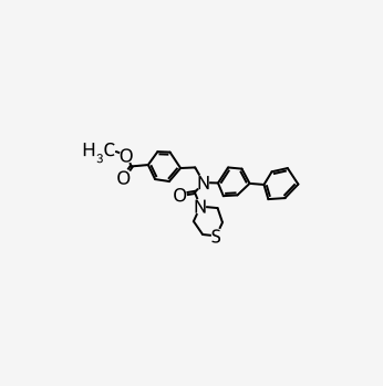 COC(=O)c1ccc(CN(C(=O)N2CCSCC2)c2ccc(-c3ccccc3)cc2)cc1